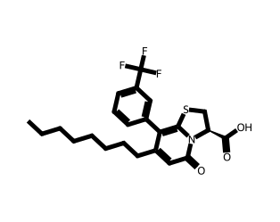 CCCCCCCCc1cc(=O)n2c(c1-c1cccc(C(F)(F)F)c1)SC[C@H]2C(=O)O